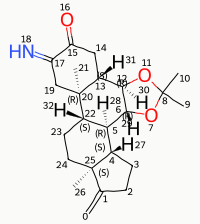 C=C1CC[C@H]2[C@@H]3[C@H]4OC(C)(C)O[C@@H]4[C@H]4CC(=O)C(=N)C[C@]4(C)[C@H]3CC[C@]12C